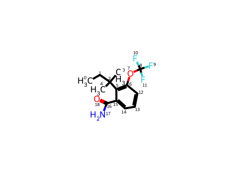 CCC(C)(C)c1c(OC(F)(F)F)cccc1C(N)=O